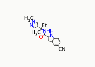 CC[C@](C)(NC(=O)c1cc2cc(C#N)ccc2[nH]1)c1cnn(C)c1